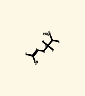 C/C(C#N)=C/CC(C)(C)C(C)C(=O)O